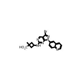 CC1(C(=O)O)CC(Nc2ncc3c(Br)nn(-c4ccc5ncccc5c4)c3n2)C1